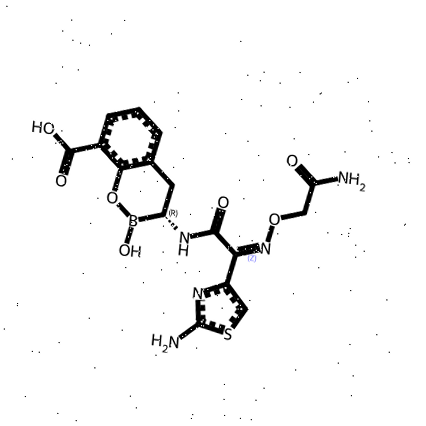 NC(=O)CO/N=C(\C(=O)N[C@H]1Cc2cccc(C(=O)O)c2OB1O)c1csc(N)n1